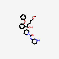 COCCCCC(O)(c1ccccc1Oc1ccccc1)[C@@H]1CCCN(C(=O)NC2CCCNC2)C1